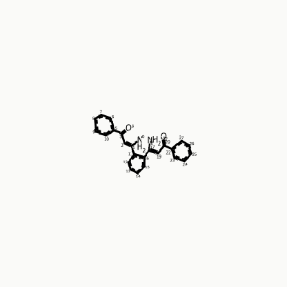 NC(=CC(=O)c1ccccc1)c1ccccc1C(N)=CC(=O)c1ccccc1